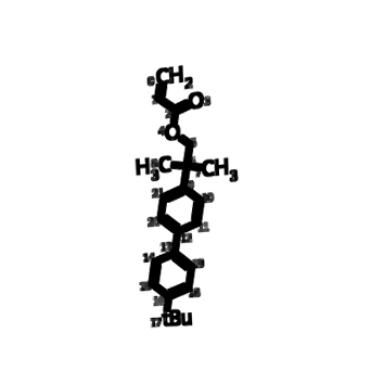 C=CC(=O)OCC(C)(C)c1ccc(-c2ccc(C(C)(C)C)cc2)cc1